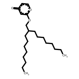 CCCCCCCCC(CCCCCCCC)COc1cc(=O)cco1